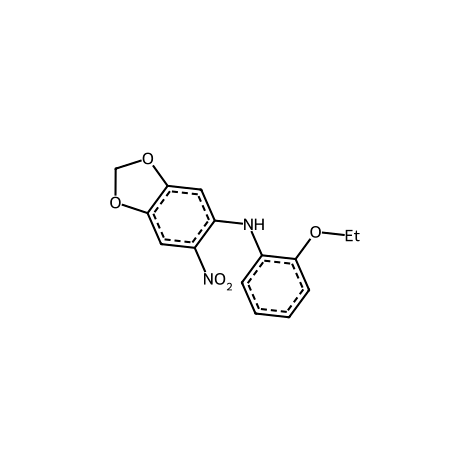 CCOc1ccccc1Nc1cc2c(cc1[N+](=O)[O-])OCO2